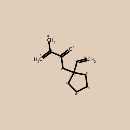 C=CC1(CC(=O)C(=C)C)CCCC1